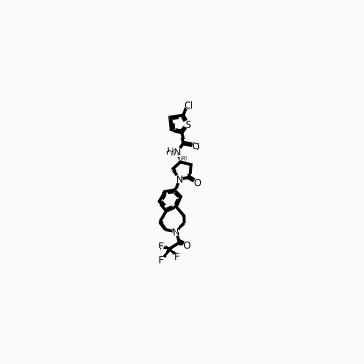 O=C(N[C@@H]1CC(=O)N(c2ccc3c(c2)CCN(C(=O)C(F)(F)F)CC3)C1)c1ccc(Cl)s1